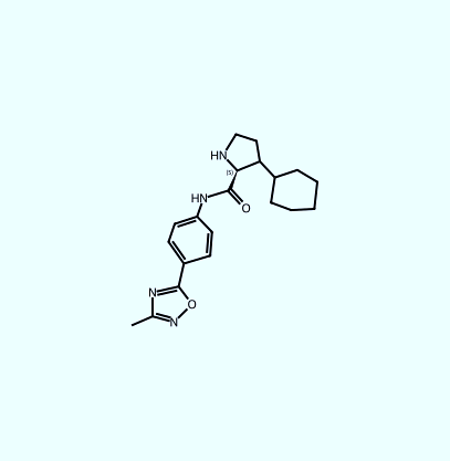 Cc1noc(-c2ccc(NC(=O)[C@H]3NCCC3C3CCCCC3)cc2)n1